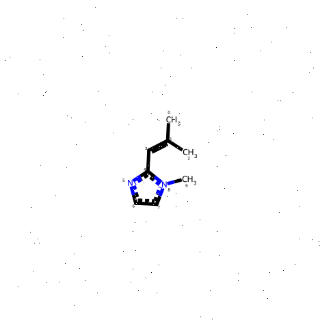 CC(C)=Cc1nccn1C